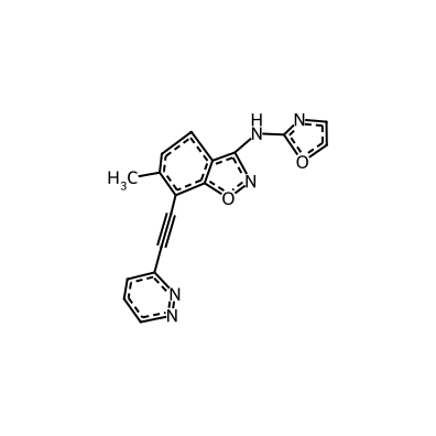 Cc1ccc2c(Nc3ncco3)noc2c1C#Cc1cccnn1